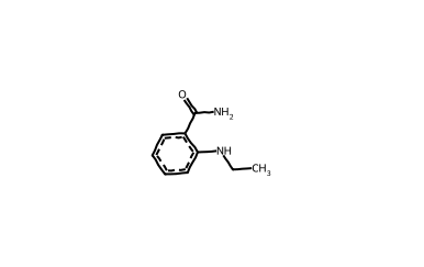 CCNc1ccccc1C(N)=O